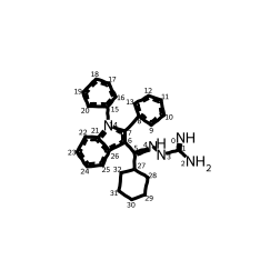 N=C(N)NN=C(c1c(-c2ccccc2)n(-c2ccccc2)c2ccccc12)C1CCCCC1